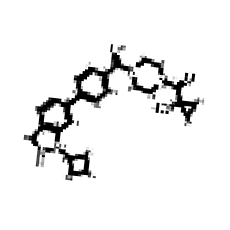 O=C(c1ccc(-c2ccc3c(c2)N(C2CCC2)NC3)cc1)N1CCN(C(=O)C2(O)CC2)CC1